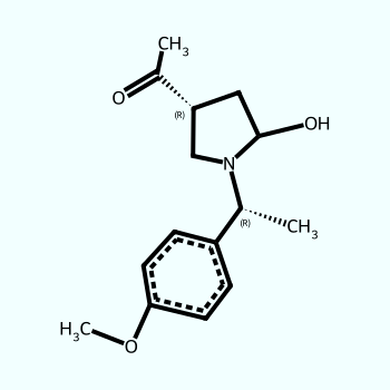 COc1ccc([C@@H](C)N2C[C@H](C(C)=O)CC2O)cc1